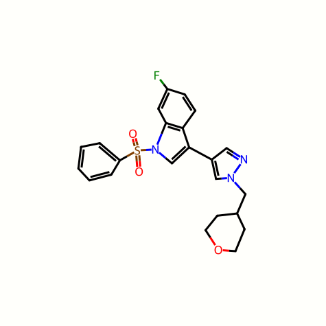 O=S(=O)(c1ccccc1)n1cc(-c2cnn(CC3CCOCC3)c2)c2ccc(F)cc21